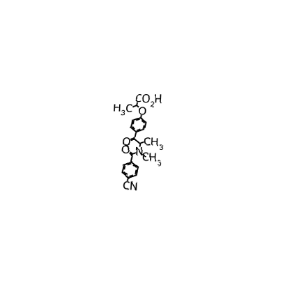 CC(Oc1ccc(C(=O)C(C)N(C)C(=O)c2ccc(C#N)cc2)cc1)C(=O)O